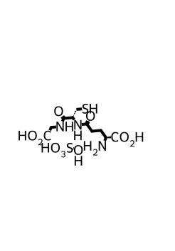 N[C@@H](CCC(=O)N[C@@H](CS)C(=O)NCC(=O)O)C(=O)O.O=S(=O)(O)O